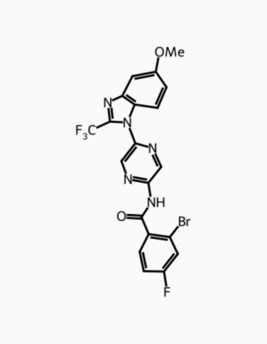 COc1ccc2c(c1)nc(C(F)(F)F)n2-c1cnc(NC(=O)c2ccc(F)cc2Br)cn1